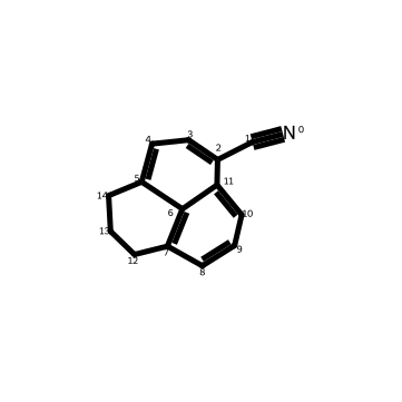 N#Cc1ccc2c3c(cccc13)CCC2